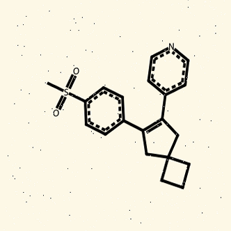 CS(=O)(=O)c1ccc(C2=C(c3ccncc3)CC3(CCC3)C2)cc1